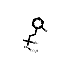 CCCCC(C)(CCc1ccccc1Br)NC(=O)O